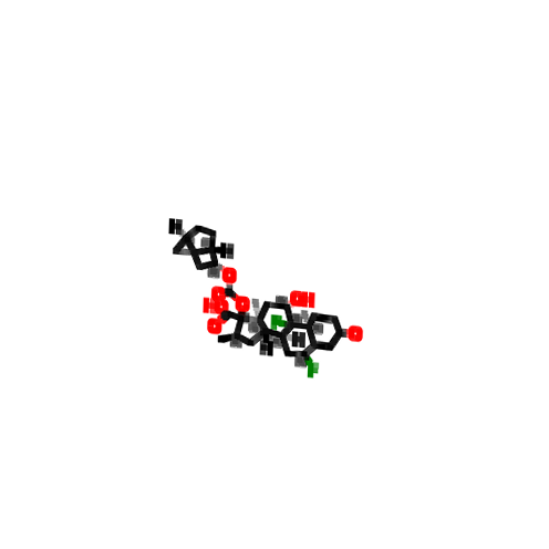 C[C@@H]1C[C@H]2[C@@H]3C[C@H](F)C4=CC(=O)C=C[C@]4(C)[C@@]3(F)[C@@H](O)C[C@]2(C)[C@@]1(OC(=O)O[C@@H]1CC23C[C@H]2CC[C@H]13)C(=O)O